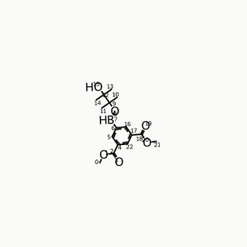 COC(=O)c1cc(BOC(C)(C)C(C)(C)O)cc(C(=O)OC)c1